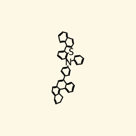 C1=Cc2ccc3cc(-c4ccc(N(c5ccccc5)c5cccc6c5sc5ccc7ccccc7c56)cc4)c4ccccc4c3c2CC1